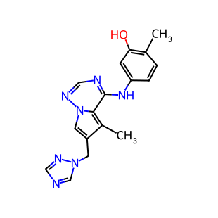 Cc1ccc(Nc2ncnn3cc(Cn4cncn4)c(C)c23)cc1O